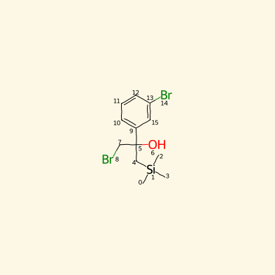 C[Si](C)(C)CC(O)(CBr)c1cccc(Br)c1